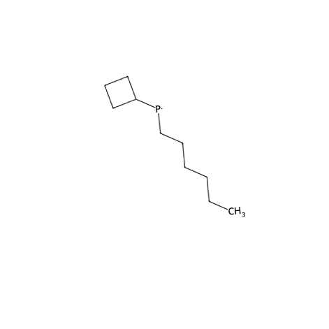 CCCCCC[P]C1CCC1